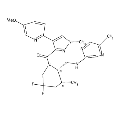 COc1ccc(-c2cn(C)nc2C(=O)N2CC(F)(F)C[C@@H](C)[C@H]2CNc2cnc(C(F)(F)F)cn2)nc1